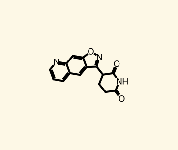 O=C1CCC(c2noc3cc4ncccc4cc23)C(=O)N1